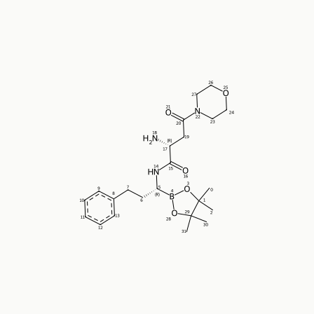 CC1(C)OB([C@H](CCc2ccccc2)NC(=O)[C@H](N)CC(=O)N2CCOCC2)OC1(C)C